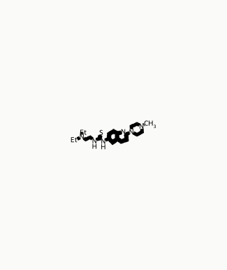 CCN(CC)CCNC(=S)Nc1ccc2nc(N3CCN(C)CC3)ccc2c1